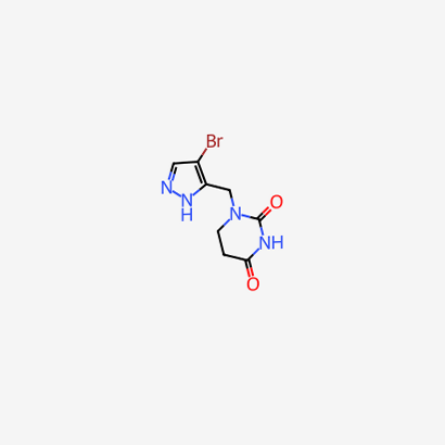 O=C1CCN(Cc2[nH]ncc2Br)C(=O)N1